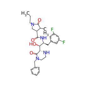 CCCN1CC(C(=O)N[C@@H](Cc2cc(F)cc(F)c2)[C@H](O)[C@@H]2NCCN(Cc3ccccc3)C2=O)C(C)C1=O